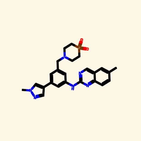 Cc1ccc2nc(Nc3cc(CN4CCS(=O)(=O)CC4)cc(-c4cnn(C)c4)c3)ncc2c1